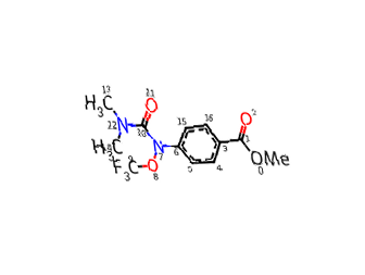 COC(=O)c1ccc(N(OC(F)(F)F)C(=O)N(C)C)cc1